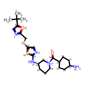 CC(C)(C)c1cnc(CSc2cnc(N[C@@H]3CCCN(C(=O)C4CCC(N)CC4)C3)s2)o1